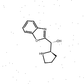 O[C@@H](c1nc2ccccc2o1)[C@H]1CCCN1